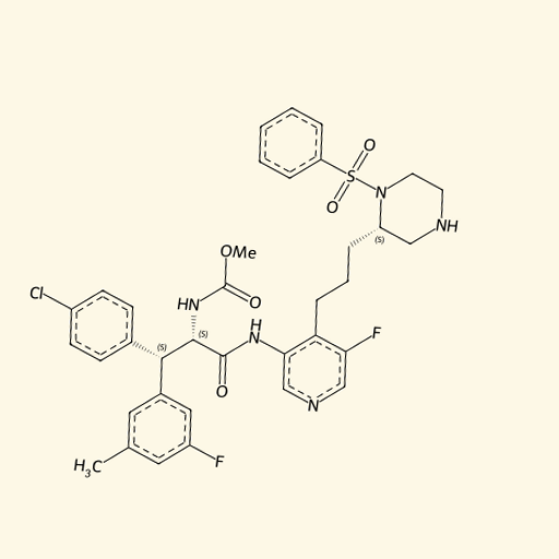 COC(=O)N[C@H](C(=O)Nc1cncc(F)c1CCC[C@H]1CNCCN1S(=O)(=O)c1ccccc1)[C@@H](c1ccc(Cl)cc1)c1cc(C)cc(F)c1